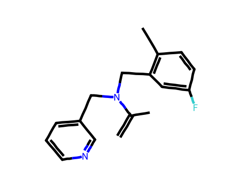 C=C(C)N(Cc1cccnc1)Cc1cc(F)ccc1C